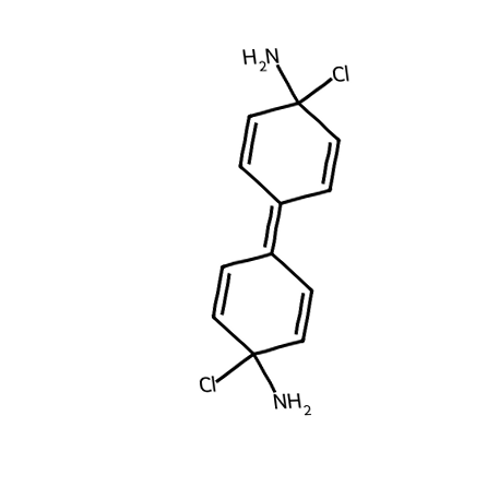 NC1(Cl)C=CC(=C2C=CC(N)(Cl)C=C2)C=C1